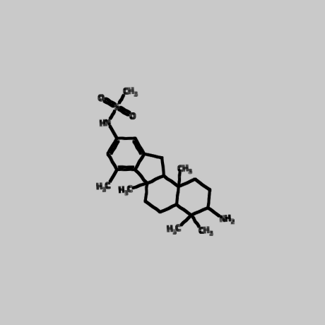 Cc1cc(NS(C)(=O)=O)cc2c1C1(C)CCC3C(C)(C)C(N)CCC3(C)C1C2